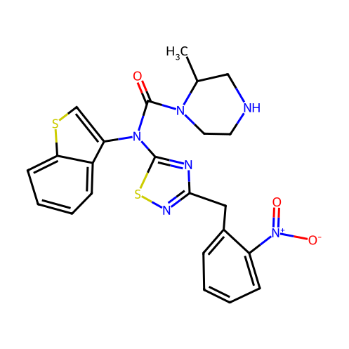 CC1CNCCN1C(=O)N(c1nc(Cc2ccccc2[N+](=O)[O-])ns1)c1csc2ccccc12